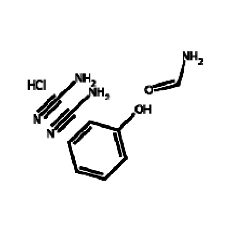 Cl.N#CN.N#CN.NC=O.Oc1ccccc1